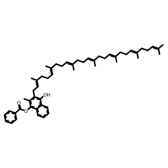 CC(C)=CCC/C(C)=C/CC/C(C)=C/CC/C(C)=C/CC/C(C)=C/CC/C(C)=C/CC/C(C)=C/Cc1c(C)c(OC(=O)c2ccccc2)c2ccccc2c1O